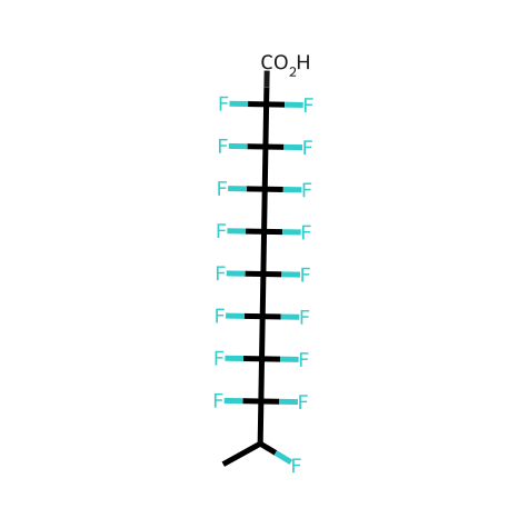 CC(F)C(F)(F)C(F)(F)C(F)(F)C(F)(F)C(F)(F)C(F)(F)C(F)(F)C(F)(F)C(=O)O